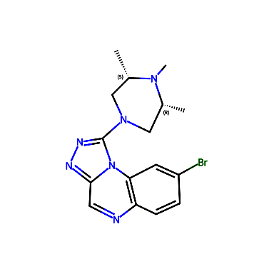 C[C@@H]1CN(c2nnc3cnc4ccc(Br)cc4n23)C[C@H](C)N1C